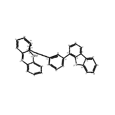 C1=CC2=Nc3ccccc3NC23C=C(c2cccc(-c4cccc5c4sc4ccccc45)c2)C=CC3=C1